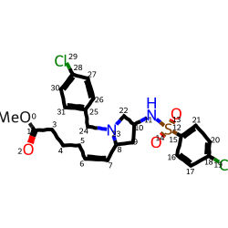 COC(=O)CCC/C=C\C1CC(NS(=O)(=O)c2ccc(Cl)cc2)CN1Cc1ccc(Cl)cc1